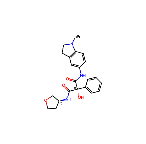 CCCN1CCc2cc(NC(=O)[C@](O)(C(=O)N[C@H]3CCOC3)c3ccccc3)ccc21